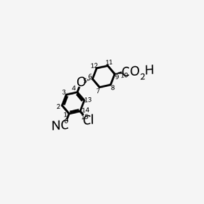 N#Cc1ccc(O[C@H]2CC[C@H](C(=O)O)CC2)cc1Cl